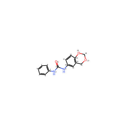 O=C(Nc1ccccc1)Nc1ccc2c(c1)COCO2